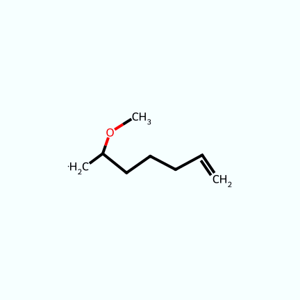 [CH2]C(CCCC=C)OC